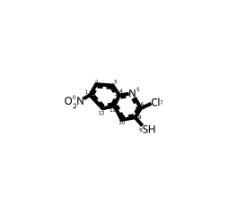 O=[N+]([O-])c1ccc2nc(Cl)c(S)cc2c1